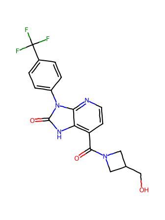 O=C(c1ccnc2c1[nH]c(=O)n2-c1ccc(C(F)(F)F)cc1)N1CC(CO)C1